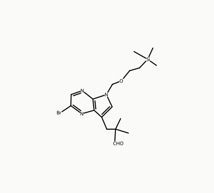 CC(C)(C=O)Cc1cn(COCC[Si](C)(C)C)c2ncc(Br)nc12